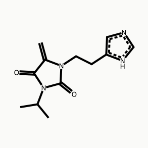 C=C1C(=O)N(C(C)C)C(=O)N1CCc1cnc[nH]1